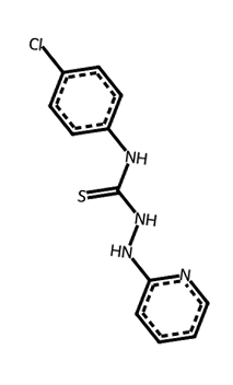 S=C(NNc1ccccn1)Nc1ccc(Cl)cc1